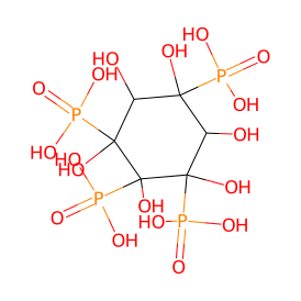 O=P(O)(O)C1(O)C(O)C(O)(P(=O)(O)O)C(O)(P(=O)(O)O)C(O)(P(=O)(O)O)C1O